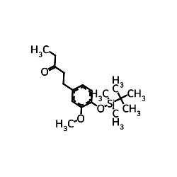 CCC(=O)CCc1ccc(O[Si](C)(C)C(C)(C)C)c(OC)c1